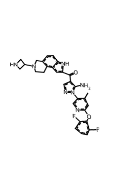 Cc1cc(Oc2c(F)cccc2F)ncc1-n1ncc(C(=O)c2cc3c4c(ccc3[nH]2)CN(C2CNC2)CC4)c1N